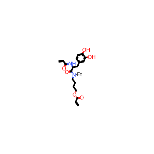 C=CC(=O)NC(Cc1ccc(O)c(O)c1)C(=O)N(CC)CCCCOC(=O)C=C